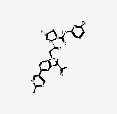 CC(=O)c1nn(CC(=O)[C@@H]2C[C@H](F)CN2C(=O)Nc2cccc(Br)n2)c2ccc(-c3cnc(C)nc3)cc12